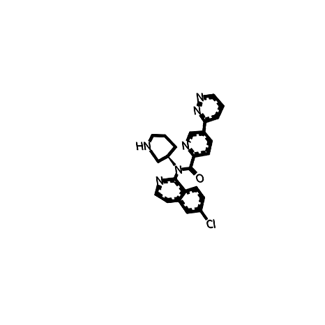 O=C(c1ccc(-c2cccnn2)cn1)N(c1nccc2cc(Cl)ccc12)[C@@H]1CCCNC1